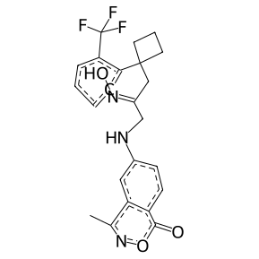 Cc1noc(=O)c2ccc(NCC(CC3(c4ccccc4C(F)(F)F)CCC3)=NO)cc12